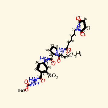 CC(C)(C)OC(=O)NNC(=O)c1ccc(NC(=O)[C@@H]2CCCN2C(=O)C(CS(=O)(=O)O)NC(=O)CCCCCN2C(=O)C=CC2=O)cc1[N+](=O)[O-]